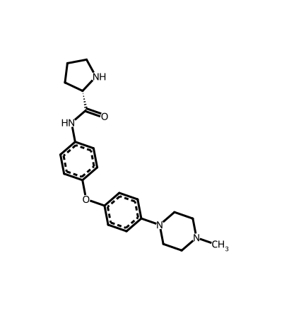 CN1CCN(c2ccc(Oc3ccc(NC(=O)[C@@H]4CCCN4)cc3)cc2)CC1